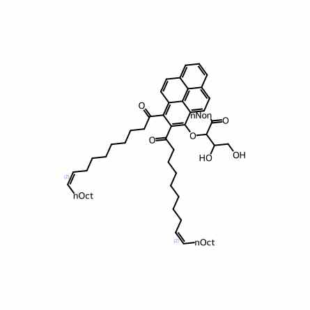 CCCCCCCC/C=C\CCCCCCCC(=O)c1c(OC(C(=O)CCCCCCCCC)C(O)CO)c2ccc3cccc4ccc(c1C(=O)CCCCCCC/C=C\CCCCCCCC)c2c34